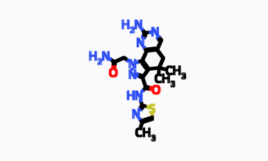 Cc1csc(NC(=O)c2nn(CC(N)=O)c3c2C(C)(C)Cc2cnc(N)nc2-3)n1